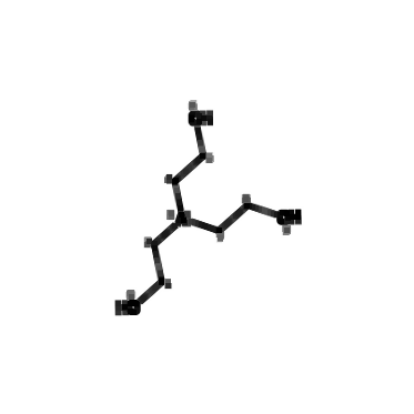 OC[CH2][Al]([CH2]CO)[CH2]CO